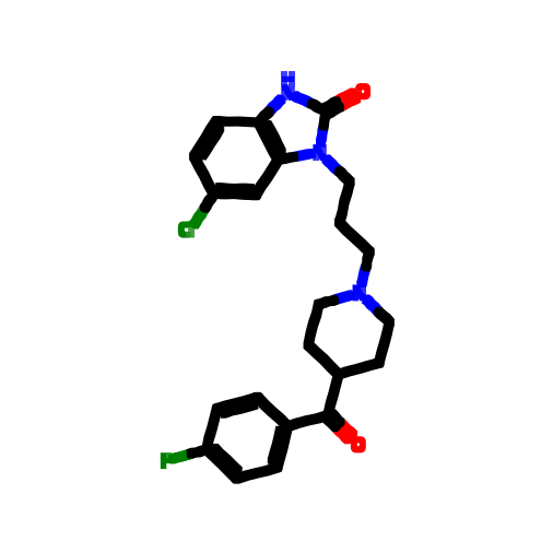 O=C(c1ccc(F)cc1)C1CCN(CCCn2c(=O)[nH]c3ccc(Cl)cc32)CC1